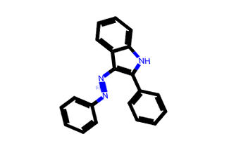 c1ccc(/N=N/c2c(-c3ccccc3)[nH]c3ccccc23)cc1